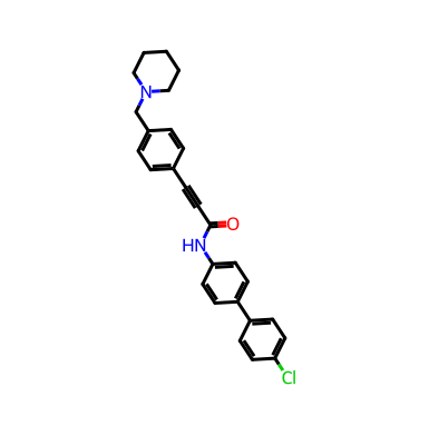 O=C(C#Cc1ccc(CN2CCCCC2)cc1)Nc1ccc(-c2ccc(Cl)cc2)cc1